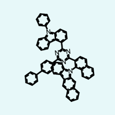 c1ccc(-c2ccc(-c3nc(-c4ccc5ccccc5c4-n4c5ccccc5c5cc6ccccc6cc54)nc(-c4cccc5c4c4ccccc4n5-c4ccccc4)n3)cc2)cc1